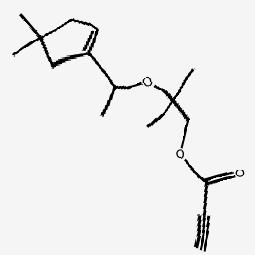 C#CC(=O)OCC(C)(C)OC(C)C1=CCC(C)(C)C1